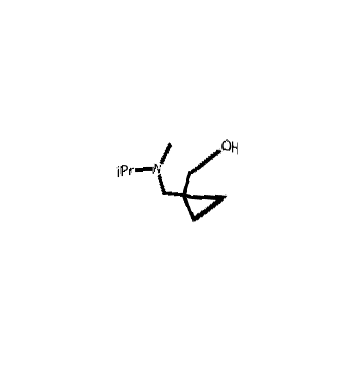 CC(C)N(C)CC1(CO)CC1